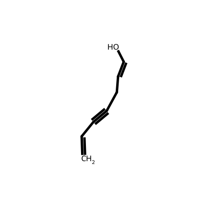 C=CC#CCC=CO